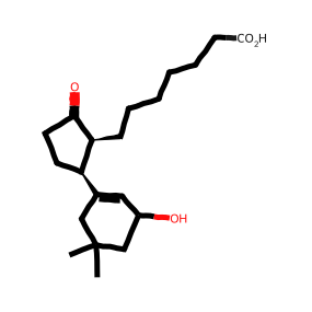 CC1(C)CC([C@H]2CCC(=O)[C@H]2CCCCCCC(=O)O)=CC(O)C1